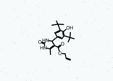 C=CCOC(=O)C1=C(C)NC(=O)NC1c1cc(C(C)(C)C)c(O)c(C(C)(C)C)c1